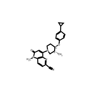 C[C@@H]1CN(c2cc(=O)n(C)c3ccc(C#N)nc23)CC[C@H]1Oc1ccc(C2CC2)cc1